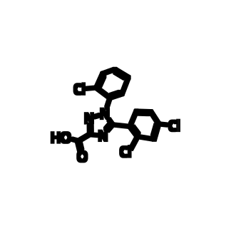 O=C(O)c1nc(-c2ccc(Cl)cc2Cl)n(-c2ccccc2Cl)n1